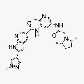 Cc1ncc(NC(=O)CN2[C@H](C)CC[C@H]2C)cc1NC(=O)c1cnc2[nH]c(-c3cnn(C)c3)cc2c1